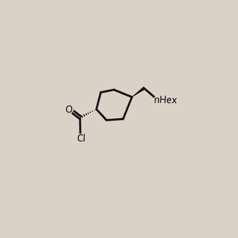 CCCCCCC[C@H]1CC[C@H](C(=O)Cl)CC1